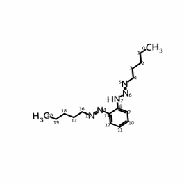 CCCCCN=NNc1ccccc1N=NCCCCC